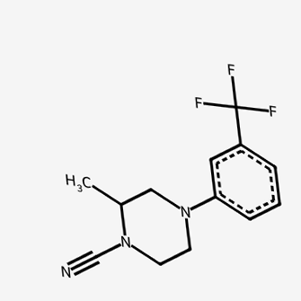 CC1CN(c2cccc(C(F)(F)F)c2)CCN1C#N